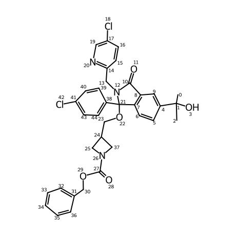 CC(C)(O)c1ccc2c(c1)C(=O)N(Cc1ccc(Cl)cn1)C2(OCC1CN(C(=O)OCc2ccccc2)C1)c1ccc(Cl)cc1